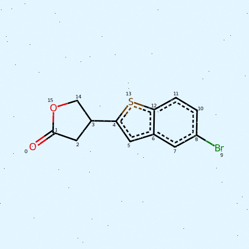 O=C1CC(c2cc3cc(Br)ccc3s2)CO1